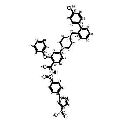 O=C(N[S+]([O-])c1ccc(-n2ncc([N+](=O)[O-])n2)cc1)c1ccc(N2CCN(Cc3ccccc3-c3ccc(Cl)cc3)CC2)cc1Oc1ccccc1